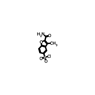 Cc1c(C(N)=O)oc2ccc(S(=O)(=O)Cl)cc12